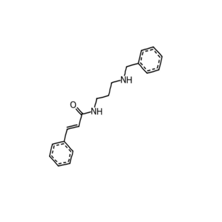 O=C(C=Cc1ccccc1)NCCCNCc1ccccc1